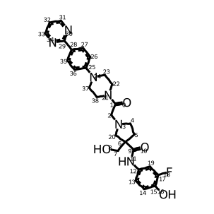 O=C(CN1CCC(CO)(C(=O)Nc2ccc(O)c(F)c2)C1)N1CCN(c2ccc(-c3ncccn3)cc2)CC1